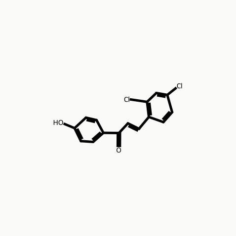 O=C(/C=C/c1ccc(Cl)cc1Cl)c1ccc(O)cc1